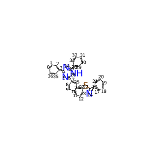 c1ccc(C2=NC(c3ccc4ccc5nc(-c6ccccc6)sc5c4c3)NC(c3ccccc3)=N2)cc1